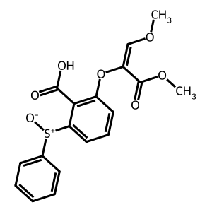 COC=C(Oc1cccc([S+]([O-])c2ccccc2)c1C(=O)O)C(=O)OC